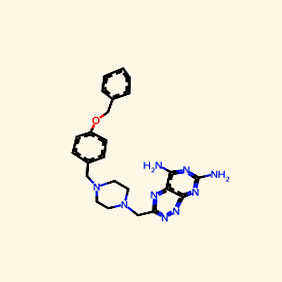 Nc1nc(N)c2nc(CN3CCN(Cc4ccc(OCc5ccccc5)cc4)CC3)nnc2n1